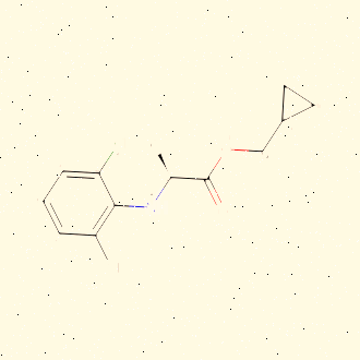 Cc1cccc(Cl)c1N[C@@H](C)C(=O)OCC1CC1